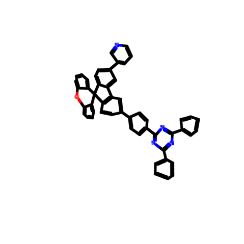 c1ccc(-c2nc(-c3ccccc3)nc(-c3ccc(-c4ccc5c(c4)-c4cc(-c6cccnc6)ccc4C54c5ccccc5Oc5ccccc54)cc3)n2)cc1